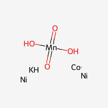 [Co].[KH].[Ni].[Ni].[O]=[Mn](=[O])([OH])[OH]